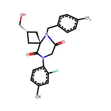 N#Cc1ccc(N2CC(=O)N(Cc3ccc(C(F)(F)F)cc3)[C@]3(C[C@@H](CO)C3)C2=O)c(F)c1